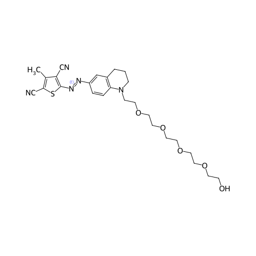 Cc1c(C#N)sc(/N=N/c2ccc3c(c2)CCCN3CCOCCOCCOCCOCCO)c1C#N